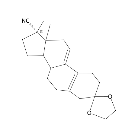 CC12CC=C3C4=C(CCC3C1CC[C@]2(C)C#N)CC1(CC4)OCCO1